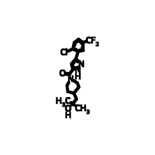 CC(C)(O)CC1CCN(C(=O)c2cc(-c3cc(C(F)(F)F)ccc3Cl)n[nH]2)CC1